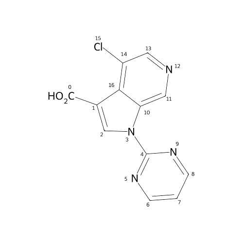 O=C(O)c1cn(-c2ncccn2)c2cncc(Cl)c12